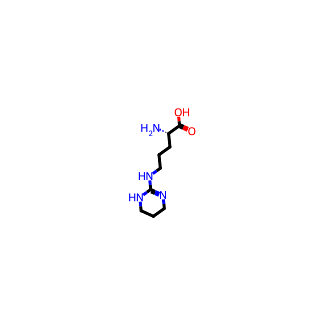 N[C@@H](CCCNC1=NCCCN1)C(=O)O